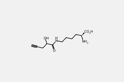 C#CCC(O)C(=O)NCCCC[C@H](N)C(=O)O